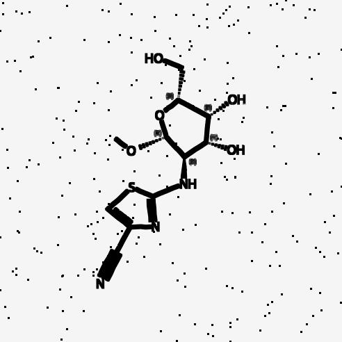 CO[C@@H]1O[C@H](CO)[C@H](O)[C@H](O)[C@H]1Nc1nc(C#N)cs1